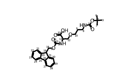 CC(C)(C)OC(=O)NCCCOCC(NC(=O)OCC1c2ccccc2-c2ccccc21)C(=O)O